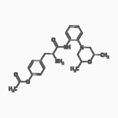 CC(=O)Oc1ccc(CC(N)C(=O)Nc2ccccc2N2CC(C)OC(C)C2)cc1